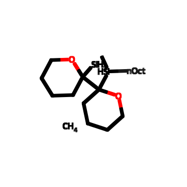 C.CCCCCCCC[SiH](C)C1(C2([SiH3])CCCCO2)CCCCO1